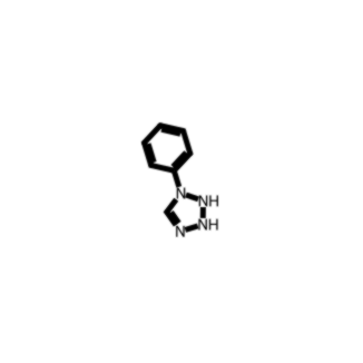 C1=NNNN1c1ccccc1